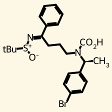 C[C@@H](c1ccc(Br)cc1)N(CCC/C(=N\[S+]([O-])C(C)(C)C)c1ccccc1)C(=O)O